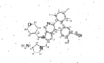 Cc1cc(C)c(-c2ncc3c(cc(CN4CC[C@H](N)C4)n3CC3CCOCC3)c2-c2ccc(C#N)c(F)c2)cc1C